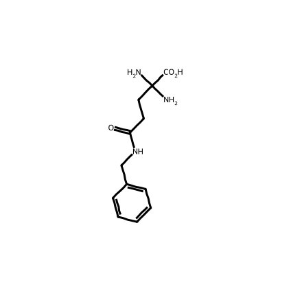 NC(N)(CCC(=O)NCc1ccccc1)C(=O)O